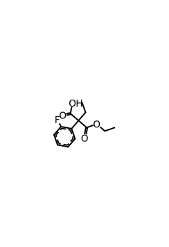 CCOC(=O)C(CC)(C(=O)O)c1ccccc1F